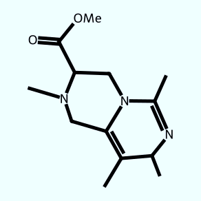 COC(=O)C1CN2C(C)=NC(C)C(C)=C2CN1C